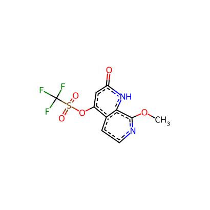 COc1nccc2c(OS(=O)(=O)C(F)(F)F)cc(=O)[nH]c12